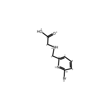 O=C(O)CNCc1cccc(Br)n1